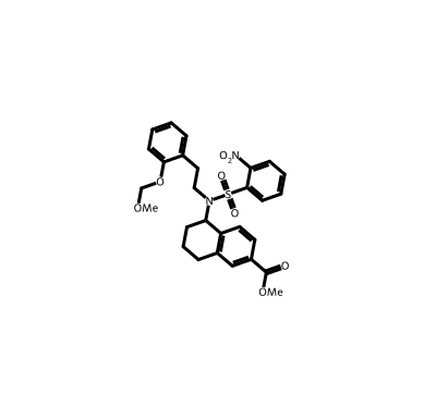 COCOc1ccccc1CCN(C1CCCc2cc(C(=O)OC)ccc21)S(=O)(=O)c1ccccc1[N+](=O)[O-]